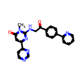 Cn1c(NCC(=O)c2ccc(-c3ccccn3)cc2)nc(-c2ccncn2)cc1=O